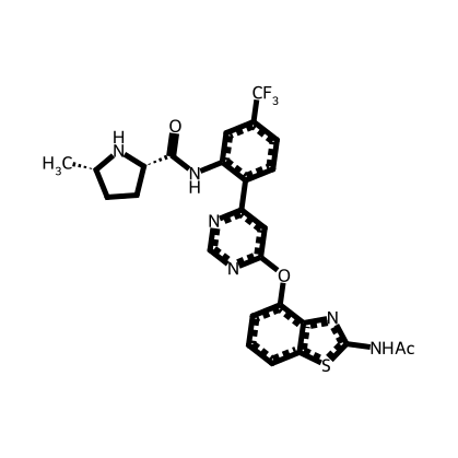 CC(=O)Nc1nc2c(Oc3cc(-c4ccc(C(F)(F)F)cc4NC(=O)[C@@H]4CC[C@H](C)N4)ncn3)cccc2s1